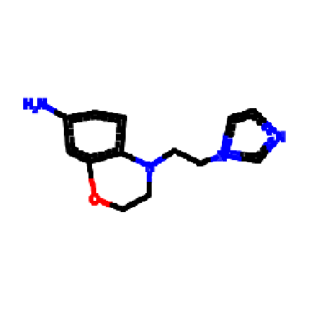 Nc1ccc2c(c1)OCCN2CCn1ccnc1